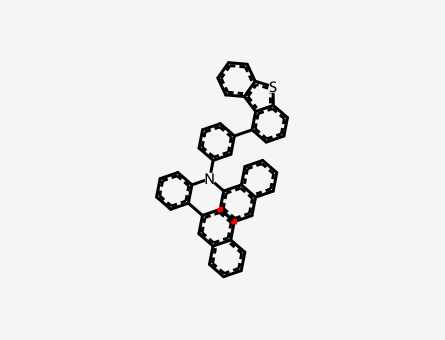 c1cc(-c2cccc3sc4ccccc4c23)cc(N(c2ccccc2-c2ccc3ccccc3c2)c2cccc3ccccc23)c1